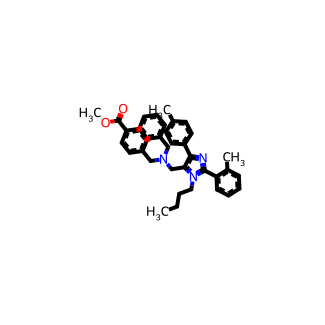 CCCCn1c(-c2ccccc2C)nc(-c2ccc(C)cc2)c1CN(Cc1ccccc1)Cc1ccc(C(=O)OC)cc1